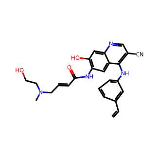 C=Cc1cccc(Nc2c(C#N)cnc3cc(O)c(NC(=O)/C=C/CN(C)CCO)cc23)c1